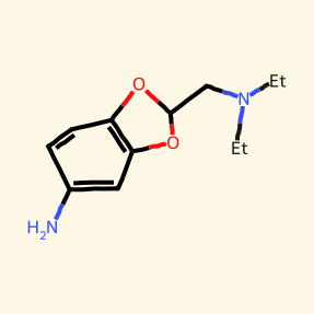 CCN(CC)CC1Oc2ccc(N)cc2O1